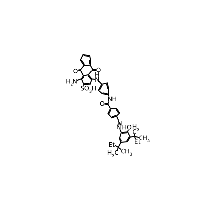 CCC(C)(C)c1cc(N=Nc2ccc(C(=O)Nc3ccc(Nc4cc(S(=O)(=O)O)c(N)c5c4C(=O)c4ccccc4C5=O)cc3)cc2)c(O)c(C(C)(C)CC)c1